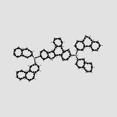 c1ccc2cc(N(c3ccc4c(c3)sc3c5ccc(N(c6ccc7ccccc7c6)c6ccc7ccc8ccccc8c7c6)cc5c5ccccc5c43)c3ccc4ccc5ccccc5c4c3)ccc2c1